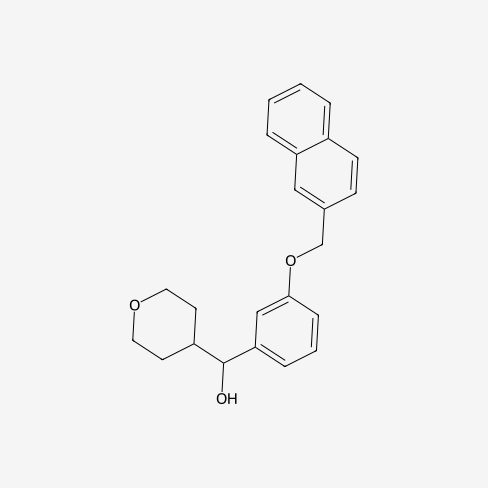 OC(c1cccc(OCc2ccc3ccccc3c2)c1)C1CCOCC1